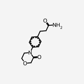 NC(=O)CCc1ccc(N2CCOCC2=O)cc1